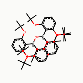 CC(C)(C)Oc1cccc(OC(C)(C)C)c1[SiH](O[SiH](c1c(OC(C)(C)C)cccc1OC(C)(C)C)c1c(OC(C)(C)C)cccc1OC(C)(C)C)c1c(OC(C)(C)C)cccc1OC(C)(C)C